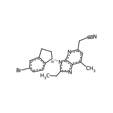 CCc1nc2c(C)cc(CC#N)nc2n1[C@H]1CCc2cc(Br)ccc21